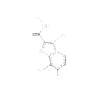 CCCCNC(=O)c1nc2c(Br)c(F)ccn2c1N